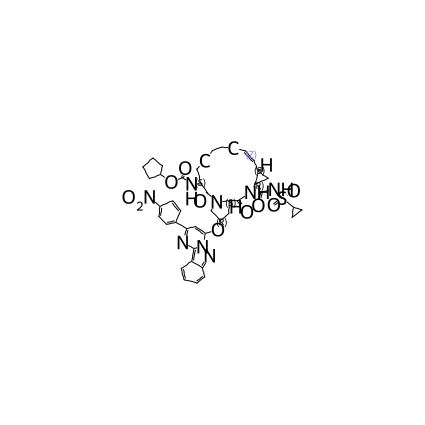 O=C(N[C@H]1CCCCC/C=C\[C@@H]2C[C@@]2(C(=O)NS(=O)(=O)C2CC2)NC(=O)[C@@H]2C[C@@H](Oc3cc(-c4ccc([N+](=O)[O-])cc4)nc4c5ccccc5nn34)CN2C1=O)OC1CCCC1